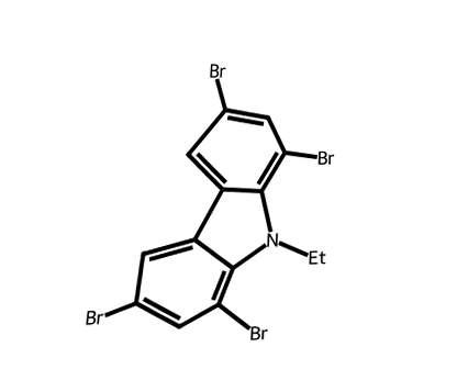 CCn1c2c(Br)cc(Br)cc2c2cc(Br)cc(Br)c21